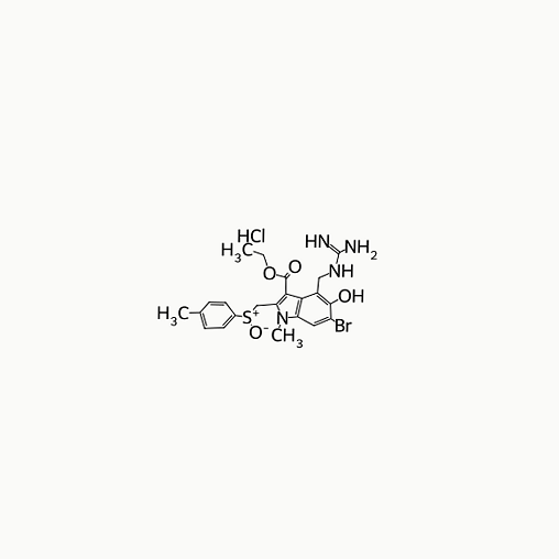 CCOC(=O)c1c(C[S+]([O-])c2ccc(C)cc2)n(C)c2cc(Br)c(O)c(CNC(=N)N)c12.Cl